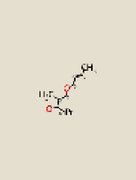 CC=CCOCC(C)C([O])C(C)C